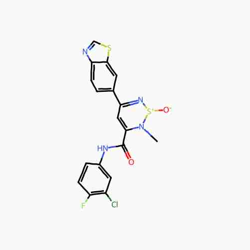 CN1C(C(=O)Nc2ccc(F)c(Cl)c2)=CC(c2ccc3ncsc3c2)=N[S+]1[O-]